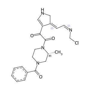 C[C@@H]1CN(C(=O)c2ccccc2)CCN1C(=O)C(=O)C1=CNC/C1=C\C=N/CCl